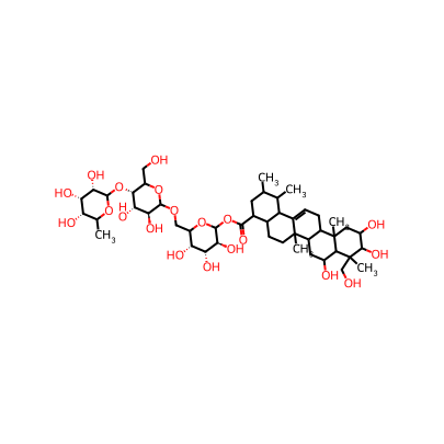 CC1CC(C(=O)OC2OC(COC3OC(CO)[C@@H](OC4OC(C)[C@H](O)[C@H](O)[C@@H]4O)[C@@H](O)[C@@H]3O)[C@@H](O)[C@@H](O)[C@@H]2O)C2CCC3(C)C(=CCC4C3CC(O)C3C(C)(CO)C(O)C(O)CC43C)C2C1C